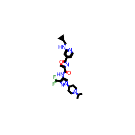 CC(C)N1CCC(n2cc(NC(=O)c3coc(-c4ccnc(NCC5CC5)c4)n3)c(C(F)F)n2)CC1